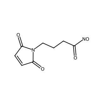 O=NC(=O)CCCN1C(=O)C=CC1=O